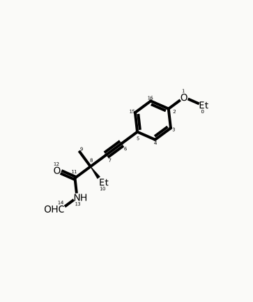 CCOc1ccc(C#C[C@](C)(CC)C(=O)NC=O)cc1